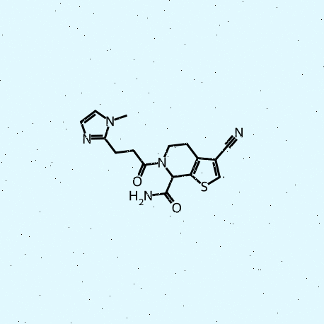 Cn1ccnc1CCC(=O)N1CCc2c(C#N)[c]sc2C1C(N)=O